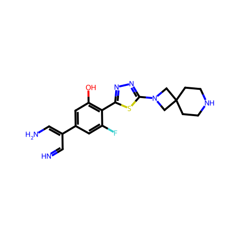 N=C/C(=C\N)c1cc(O)c(-c2nnc(N3CC4(CCNCC4)C3)s2)c(F)c1